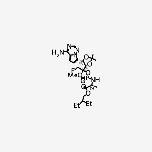 CCC(CC)COC(=O)[C@H](C)N[PH](=O)O[C@@](CF)(OC)[C@H]1OC(C)(C)O[C@H]1c1ccc2c(N)ncnn12